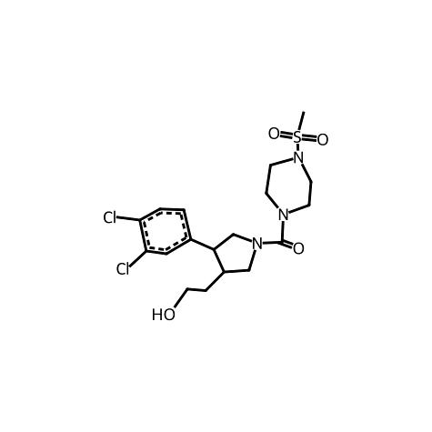 CS(=O)(=O)N1CCN(C(=O)N2CC(CCO)C(c3ccc(Cl)c(Cl)c3)C2)CC1